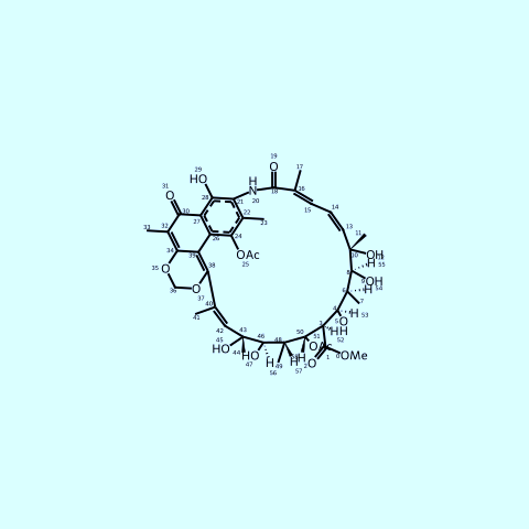 COC(=O)[C@@H]1[C@H](O)[C@H](C)[C@H](O)[C@@](C)(O)/C=C\C=C(/C)C(=O)Nc2c(C)c(OC(C)=O)c3c(c2O)C(=O)C(C)=C2OCOC(=C23)/C(C)=C/[C@@](C)(O)[C@H](O)[C@@H](C)[C@H]1OC(C)=O